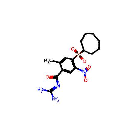 Cc1cc(S(=O)(=O)C2CCCCCC2)c([N+](=O)[O-])cc1C(=O)N=C(N)N